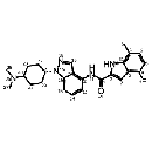 Cc1ccc(F)c2cc(C(=O)Nc3cccc4c3cnn4[C@H]3CC[C@H](N(C)C)CC3)[nH]c12